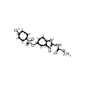 COC(=O)Nc1nc2ccc(OS(=O)(=O)c3ccc(Cl)cc3)cc2[nH]1